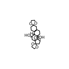 CC12C[C@@H](O)[C@@H]3C4=C(CC[C@]3(O)C1CCC21OCCO1)CC1(CC4)OCCO1